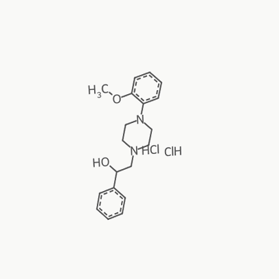 COc1ccccc1N1CCN(CC(O)c2ccccc2)CC1.Cl.Cl